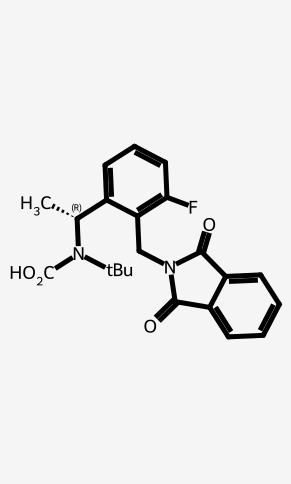 C[C@H](c1cccc(F)c1CN1C(=O)c2ccccc2C1=O)N(C(=O)O)C(C)(C)C